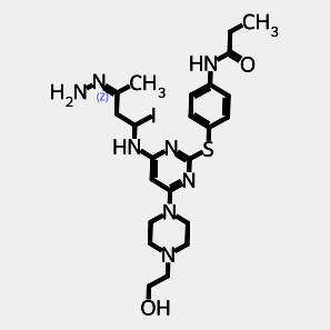 CCC(=O)Nc1ccc(Sc2nc(NC(I)C/C(C)=N\N)cc(N3CCN(CCO)CC3)n2)cc1